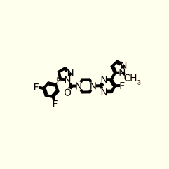 Cn1nccc1-c1nc(N2CCN(C(=O)N3N=CC[C@H]3c3cc(F)cc(F)c3)CC2)ncc1F